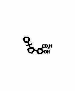 CC(C)(c1ccccc1)c1cccc(-c2ccc(O)c(C(=O)O)c2)c1